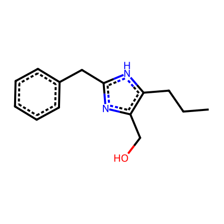 CCCc1[nH]c(Cc2ccccc2)nc1CO